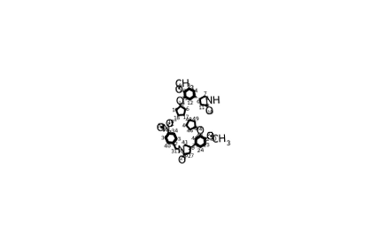 COc1ccc([C@@H]2CNC(=O)C2)cc1OC1CCCC1.COc1ccc([C@H]2CC(=O)N(Cc3ccc([N+](=O)[O-])cc3)C2)cc1OC1CCCC1